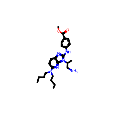 CCCCN(CCCC)c1ccc2nc(Nc3ccc(C(=O)OC)cc3)n(C(C)CN)c2n1